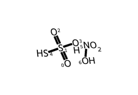 O=S(=O)(O)S.O=[N+]([O-])O